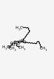 CC/C=C\CC1C(CC(=O)OCC(COCCCCCCCC/C=C\C/C=C\CCCCC)OCCCCCCCC/C=C\C/C=C\CCCCC)CCC1OC(=O)CCN(C)C